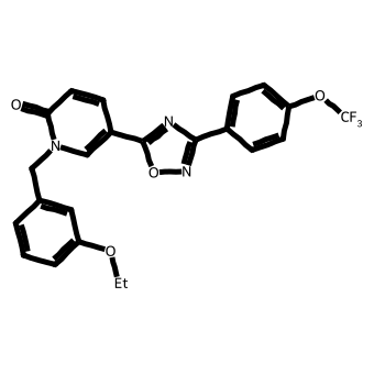 CCOc1cccc(Cn2cc(-c3nc(-c4ccc(OC(F)(F)F)cc4)no3)ccc2=O)c1